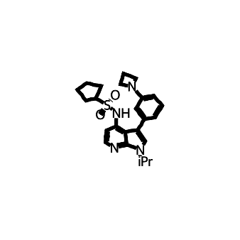 CC(C)n1cc(-c2cccc(N3CCC3)c2)c2c(NS(=O)(=O)C3CCCC3)ccnc21